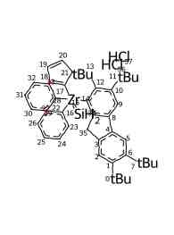 CC(C)(C)c1cc2c(cc1C(C)(C)C)-c1cc(C(C)(C)C)c(C(C)(C)C)[c]([Zr](=[SiH2])([C]3=CC=CC3)([c]3ccccc3)[c]3ccccc3)c1C2.Cl.Cl